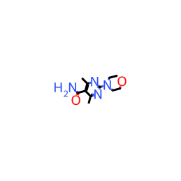 Cc1nc(N2CCOCC2)nc(C)c1C(N)=O